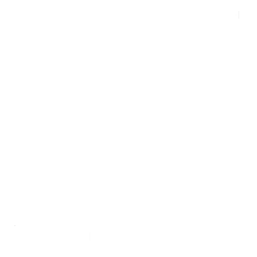 CC(=O)OC(C(=O)O)C(O)CCCCCCCCCCCCCCCO